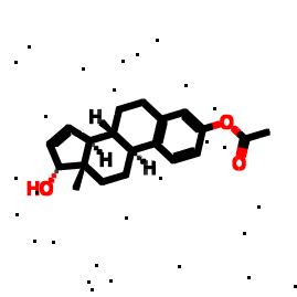 CC(=O)Oc1ccc2c(c1)CC[C@@H]1[C@@H]2CC[C@]2(C)[C@H](O)C=C[C@@H]12